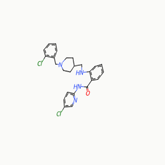 O=C(Nc1ccc(Cl)cn1)c1ccccc1NCC1CCN(Cc2ccccc2Cl)CC1